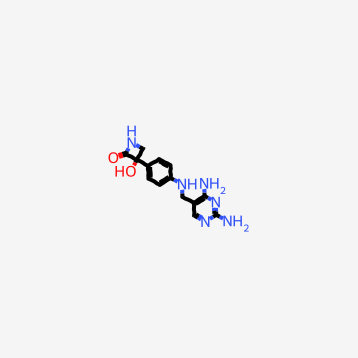 Nc1ncc(CNc2ccc(C3(O)CNC3=O)cc2)c(N)n1